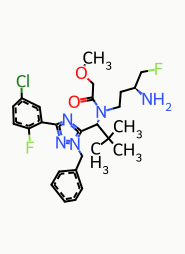 COCC(=O)N(CC[C@H](N)CF)[C@@H](c1nc(-c2cc(Cl)ccc2F)nn1Cc1ccccc1)C(C)(C)C